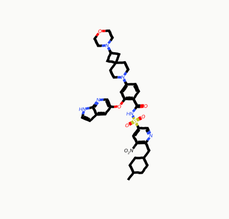 CC1CCC(Cc2ncc(S(=O)(=O)NC(=O)c3ccc(N4CCC5(CC4)CC(N4CCOCC4)C5)cc3Oc3cnc4[nH]ccc4c3)cc2[N+](=O)[O-])CC1